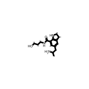 CC(N)Cc1cc2c(c(C(=O)NCCCO)c1)NCC2